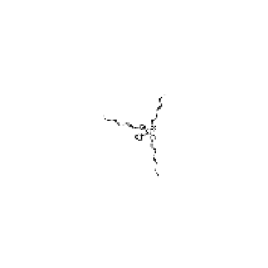 CCC=CC=CO[Si](Cl)(OC=CC=CCC)OC=CC=CCC